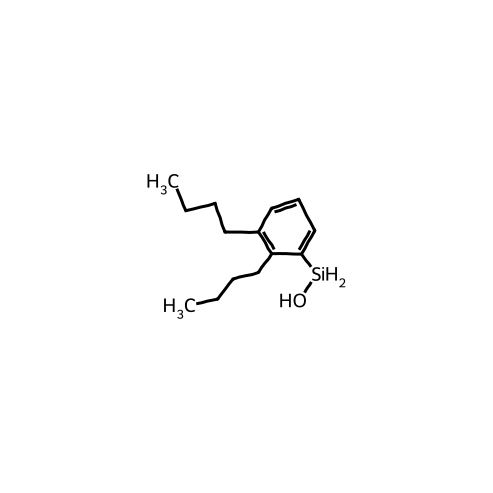 CCCCc1cccc([SiH2]O)c1CCCC